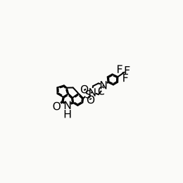 O=c1[nH]c2ccc(S(=O)(=O)N3CCN(c4ccc(C(F)(F)F)cc4)CC3)c3c2c2c(cccc12)C3